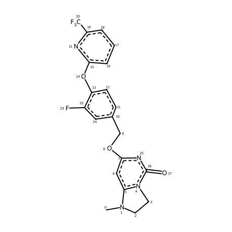 CN1CCn2c1cc(OCc1ccc(Oc3cccc(C(F)(F)F)n3)c(F)c1)nc2=O